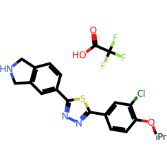 CC(C)Oc1ccc(-c2nnc(-c3ccc4c(c3)CNC4)s2)cc1Cl.O=C(O)C(F)(F)F